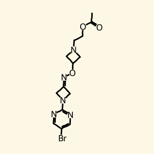 CC(=O)OCCN1CC(ON=C2CN(c3ncc(Br)cn3)C2)C1